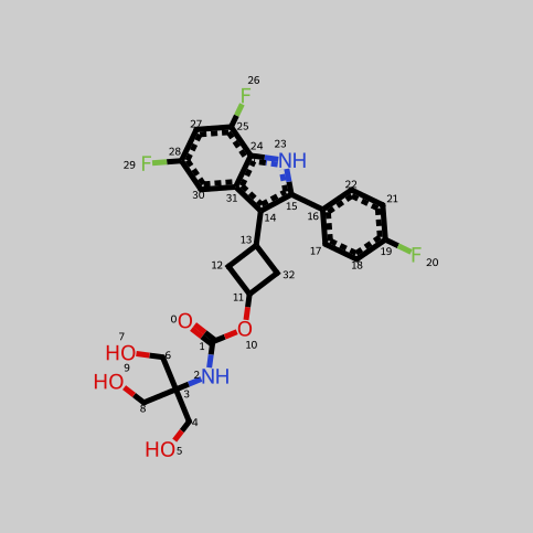 O=C(NC(CO)(CO)CO)OC1CC(c2c(-c3ccc(F)cc3)[nH]c3c(F)cc(F)cc23)C1